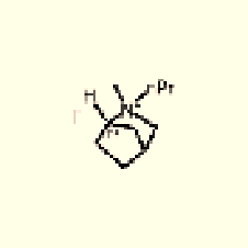 CCC[N+]1(C)CC2CC[C@H]1C2.[I-]